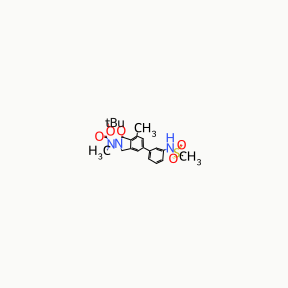 Cc1cc(-c2cccc(NS(C)(=O)=O)c2)cc2c1C(=O)N(N(C)C(=O)OC(C)(C)C)C2